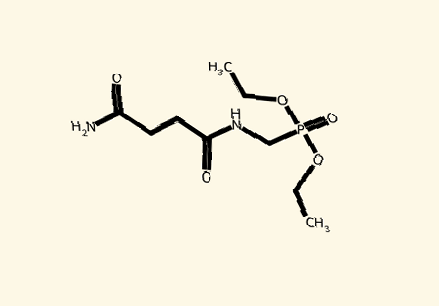 CCOP(=O)(CNC(=O)CCC(N)=O)OCC